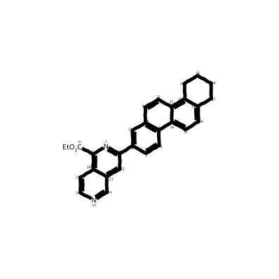 CCOC(=O)c1nc(-c2ccc3c(ccc4c5c(ccc43)CCCC5)c2)cc2cnccc12